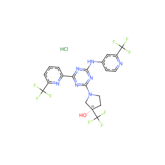 Cl.O[C@@]1(C(F)(F)F)CCN(c2nc(Nc3ccnc(C(F)(F)F)c3)nc(-c3cccc(C(F)(F)F)n3)n2)C1